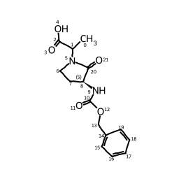 CC(C(=O)O)N1CC[C@H](NC(=O)OCc2ccccc2)C1=O